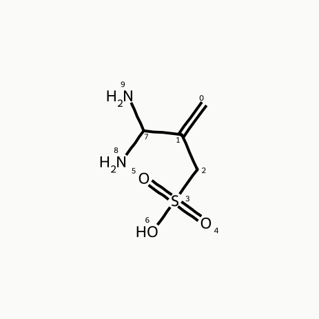 C=C(CS(=O)(=O)O)C(N)N